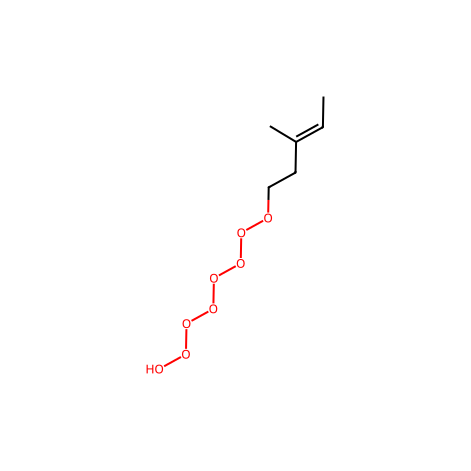 C/C=C(\C)CCOOOOOOOO